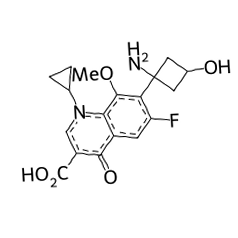 COc1c(C2(N)CC(O)C2)c(F)cc2c(=O)c(C(=O)O)cn(C3CC3)c12